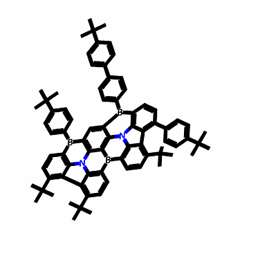 CC(C)(C)c1ccc(B2c3cc4c5c6c3-n3c7c2ccc(C(C)(C)C)c7c2c(C(C)(C)C)ccc(c23)B6c2ccc(C(C)(C)C)c3c6c(-c7ccc(C(C)(C)C)cc7)ccc(c6n-5c23)B4c2ccc(-c3ccc(C(C)(C)C)cc3)cc2)cc1